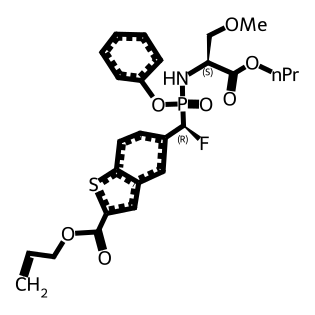 C=CCOC(=O)c1cc2cc([C@H](F)P(=O)(N[C@@H](COC)C(=O)OCCC)Oc3ccccc3)ccc2s1